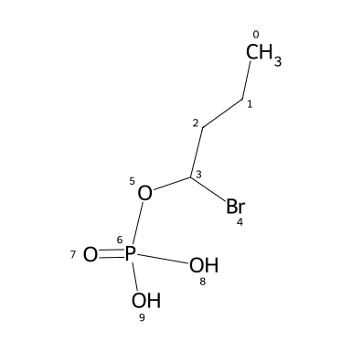 CCCC(Br)OP(=O)(O)O